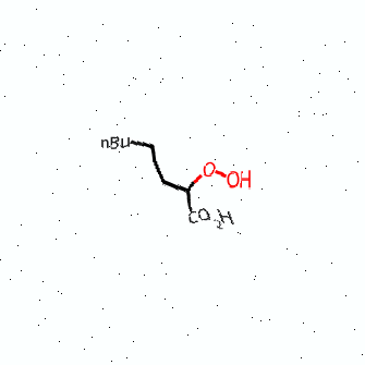 CCCCCCC(OO)C(=O)O